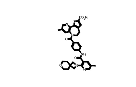 Cc1cnc(N2CC3(CCOCC3)C2)c(C(=O)Nc2ccc(C(=O)N3CCc4cc(C(=O)O)sc4-c4ncc(C)cc43)cc2)c1